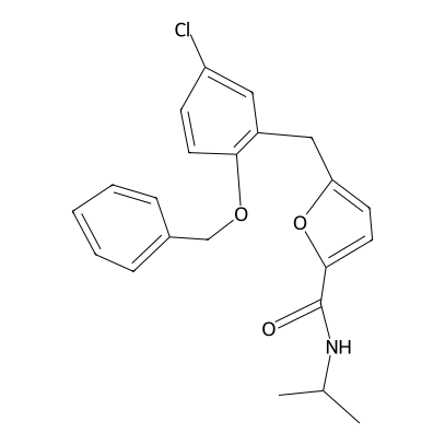 CC(C)NC(=O)c1ccc(Cc2cc(Cl)ccc2OCc2ccccc2)o1